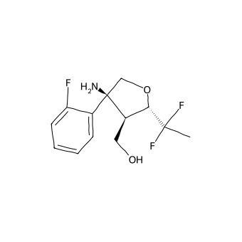 CC(F)(F)[C@H]1OC[C@@](N)(c2ccccc2F)[C@@H]1CO